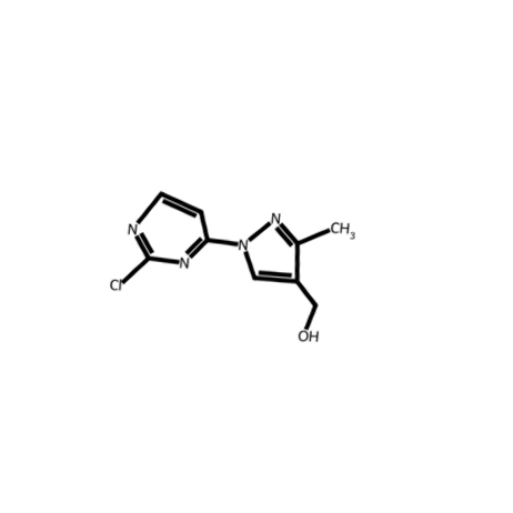 Cc1nn(-c2ccnc(Cl)n2)cc1CO